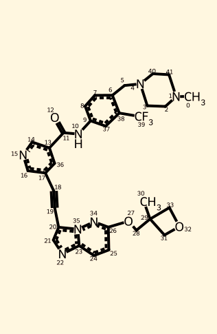 CN1CCN(Cc2ccc(NC(=O)c3cncc(C#Cc4cnc5ccc(OCC6(C)COC6)nn45)c3)cc2C(F)(F)F)CC1